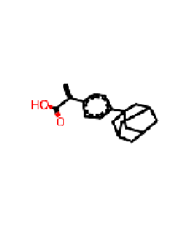 C=C(C(=O)O)c1ccc(C23CC4CC(CC(C4)C2)C3)cc1